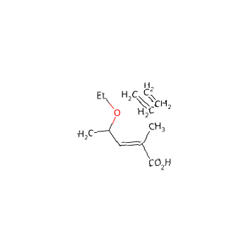 C=C.C=C.[CH2]C(C=C(C)C(=O)O)OCC